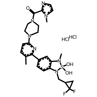 Cc1ccc(N2CCN(C(=O)c3nccn3C)CC2)nc1-c1ccc2c(c1)N(C)S(O)(O)N2CC1CC1(F)F.Cl.Cl